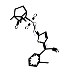 Cc1ccccc1/C(C#N)=C1C=C/C(=N\OS(=O)(=O)C2C(=O)C3(C)CCC2C3(C)C)S/1